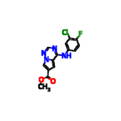 COC(=O)c1cc2c(Nc3ccc(F)c(Cl)c3)ncnn2c1